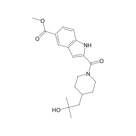 COC(=O)c1ccc2[nH]c(C(=O)N3CCC(CC(C)(C)O)CC3)cc2c1